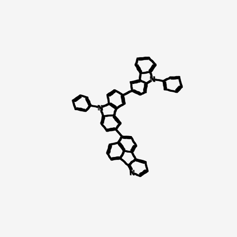 c1ccc(-n2c3ccccc3c3cc(-c4ccc5c(c4)c4cc(-c6ccc7c8c(cccc68)-c6ncccc6-7)ccc4n5-c4ccccc4)ccc32)cc1